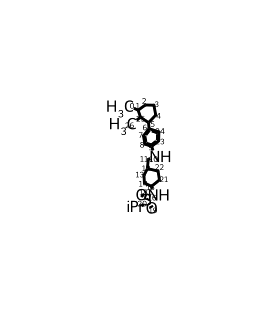 CC1CCCC(c2ccc(NCC3CCC(NS(=O)(=O)C(C)C)CC3)cc2)C1C